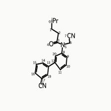 CC(C)CCC(=O)N(CC#N)c1cccc(-c2cccc(C#N)c2)c1